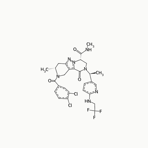 CNC(=O)[C@@H]1CN([C@@H](C)c2ccc(NCC(F)(F)F)nc2)C(=O)c2c3c(nn21)C[C@@H](C)N(C(=O)c1ccc(Cl)c(Cl)c1)C3